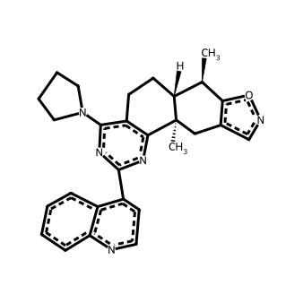 C[C@H]1c2oncc2C[C@@]2(C)c3nc(-c4ccnc5ccccc45)nc(N4CCCC4)c3CC[C@H]12